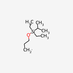 [CH2]CCO[Si](CC)(CC)C(C)C